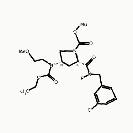 COCCN(C(=O)OCC(Cl)(Cl)Cl)[C@H]1C[C@@H](C(=O)N(F)Cc2cccc(Cl)c2)N(C(=O)OC(C)(C)C)C1